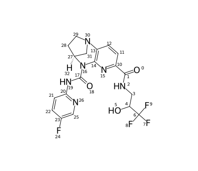 O=C(NCC(O)C(F)(F)F)c1ccc2c(n1)N(C(=O)Nc1ccc(F)cn1)[C@H]1CCN2C1